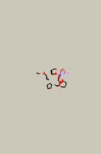 CCCOC(C)(C)C/C=C/[C@H]1CC[C@H](O)[C@@H]1C/C=C\CCC(OC1CCCCO1)(OC1CCCCO1)C(=O)NS(C)(=O)=O